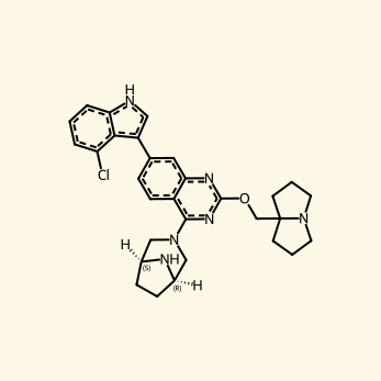 Clc1cccc2[nH]cc(-c3ccc4c(N5C[C@H]6CC[C@@H](C5)N6)nc(OCC56CCCN5CCC6)nc4c3)c12